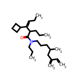 C=CC(=C)CC(C)CCCN(CCC)C(=O)C(CCC)/C(=C\CC)C1CCC1